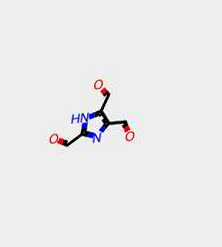 O=Cc1nc(C=O)c(C=O)[nH]1